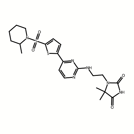 CC1CCCCN1S(=O)(=O)c1ccc(-c2ccnc(NCCN3C(=O)NC(=O)C3(C)C)n2)s1